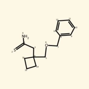 NC(=S)CC1(COCc2ccccc2)CCC1